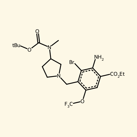 CCOC(=O)c1cc(OC(F)(F)F)c(CN2CCC(N(C)C(=O)OC(C)(C)C)C2)c(Br)c1N